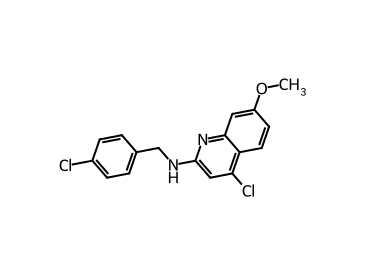 COc1ccc2c(Cl)cc(NCc3ccc(Cl)cc3)nc2c1